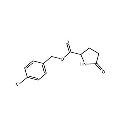 O=C1CCC(C(=O)OCc2ccc(Cl)cc2)N1